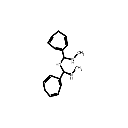 CNC(NC(NC)C1=CC=CCC=C1)C1=CC=CCC=C1